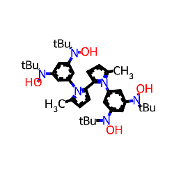 Cc1ccc(-c2ccc(C)n2-c2cc(N(O)C(C)(C)C)cc(N(O)C(C)(C)C)c2)n1-c1cc(N(O)C(C)(C)C)cc(N(O)C(C)(C)C)c1